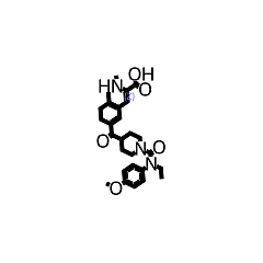 CCN(C(=O)N1CCC(C(=O)C2=CC(/C=C(\NC)C(=O)O)=C(C)CC2)CC1)c1ccc(OC)cc1